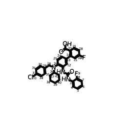 O=C(Nc1ccccc1F)Nc1cc(-c2cc(F)ccc2C(=O)O)ccc1N(Cc1ccc(Cl)cc1)C1CCCCC1